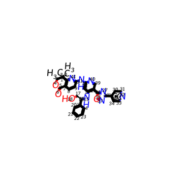 CC1(C)COC(=O)c2ccc(Nc3cc(N[C@H](CO)c4ccccc4)c(-c4nc(C56CCN(CC5)CC6)no4)cn3)nc21